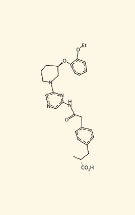 CCOc1ccccc1O[C@@H]1CCCN(c2cncc(NC(=O)Cc3ccc(C[C@@H](C)C(=O)O)cc3)n2)C1